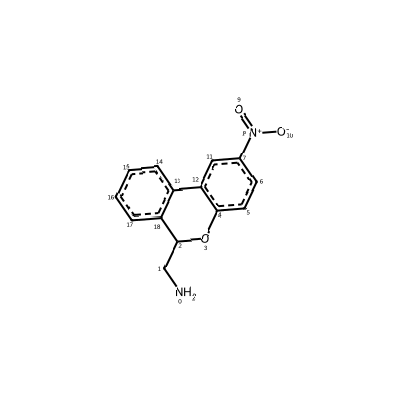 NCC1Oc2ccc([N+](=O)[O-])cc2-c2ccccc21